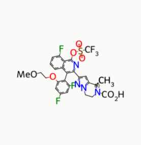 COCCOc1cc(F)cc(F)c1-c1c(-c2cc3n(n2)CCN(C(=O)O)[C@@H]3C)nc(OS(=O)(=O)C(F)(F)F)c2c(F)cccc12